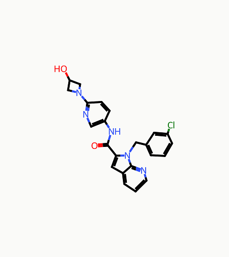 O=C(Nc1ccc(N2CC(O)C2)nc1)c1cc2cccnc2n1Cc1cccc(Cl)c1